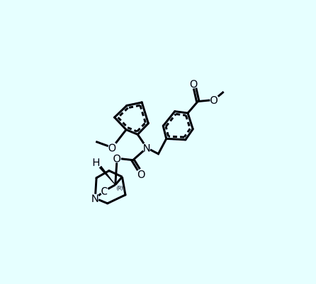 COC(=O)c1ccc(CN(C(=O)O[C@H]2CN3CCC2CC3)c2ccccc2OC)cc1